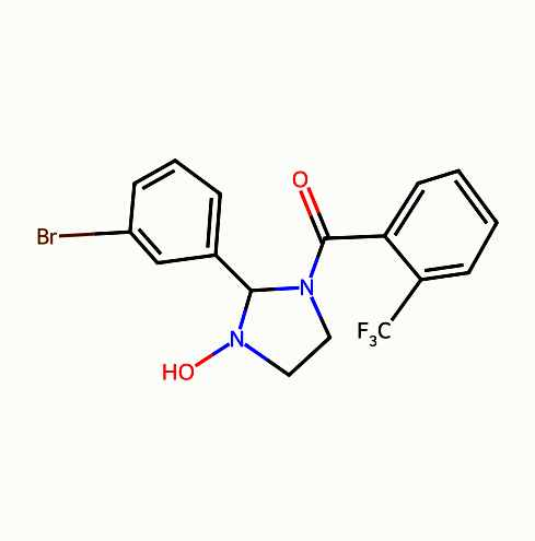 O=C(c1ccccc1C(F)(F)F)N1CCN(O)C1c1cccc(Br)c1